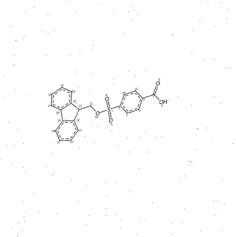 O=C(O)c1ccc(S(=O)(=O)OCC2c3ccccc3-c3ccccc32)cc1